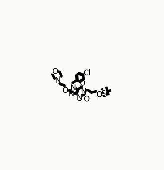 Cn1c(=O)n(CCCO[Si](C)(C)C(C)(C)C)c(=O)c2c1nc(OCCN1CCOCC1)n2Cc1ccc(Cl)cc1